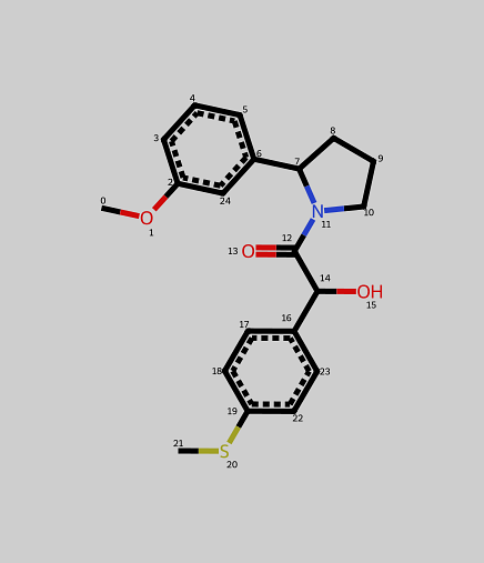 COc1cccc(C2CCCN2C(=O)C(O)c2ccc(SC)cc2)c1